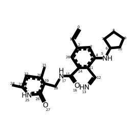 C=Cc1cc(NC2CCCC2)c(C=N)c(C(=O)NCc2c(C)cc(C)[nH]c2=O)c1